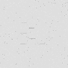 CC(C)NCC1CCCCC1C(=O)C(C)C